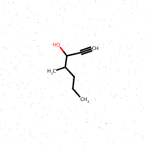 C#CC(O)C(C)CCC